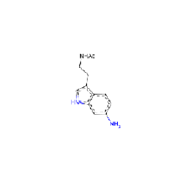 CC(=O)NCCc1c[nH]c2cc(N)ccc12